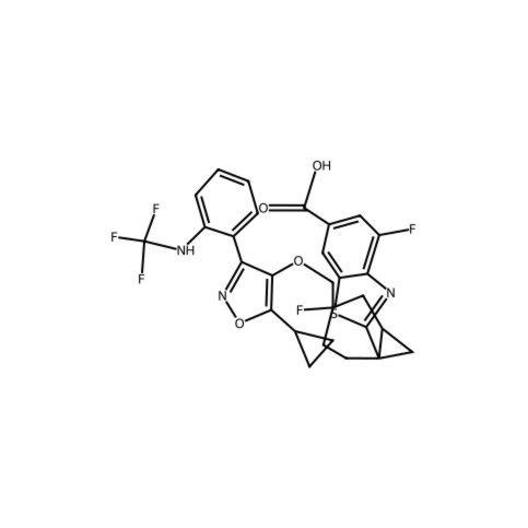 O=C(O)c1cc(F)c2nc(C34CCC(F)(COc5c(-c6ccccc6NC(F)(F)F)noc5C5CC5)CC3C4)sc2c1